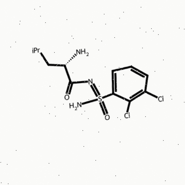 CC(C)C[C@H](N)C(=O)N=S(N)(=O)c1cccc(Cl)c1Cl